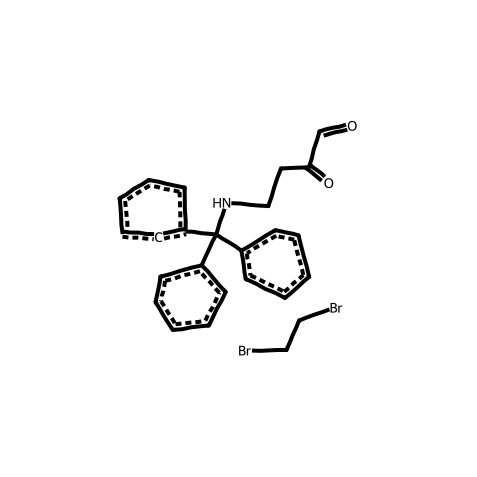 BrCCBr.O=CC(=O)CCNC(c1ccccc1)(c1ccccc1)c1ccccc1